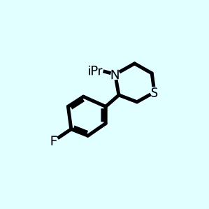 CC(C)N1CCSCC1c1ccc(F)cc1